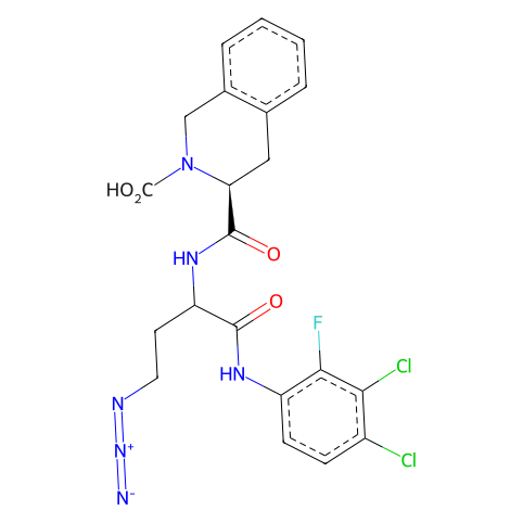 [N-]=[N+]=NCCC(NC(=O)[C@@H]1Cc2ccccc2CN1C(=O)O)C(=O)Nc1ccc(Cl)c(Cl)c1F